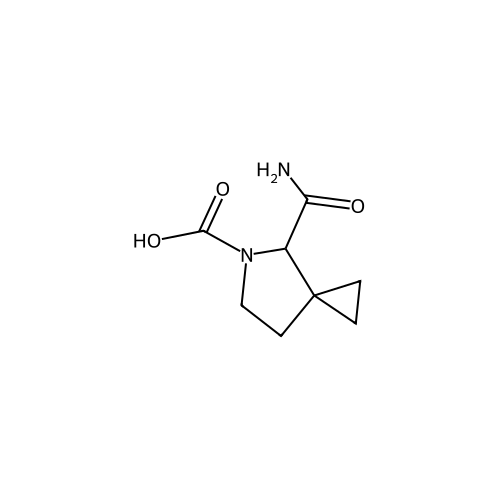 NC(=O)C1N(C(=O)O)CCC12CC2